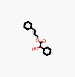 O=C(OC/C=C/c1ccccc1)C(O)c1ccccc1